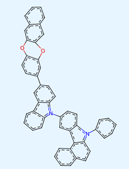 c1ccc(-n2c3ccc(-n4c5ccccc5c5cc(-c6ccc7c(c6)Oc6cc8ccccc8cc6O7)ccc54)cc3c3c4ccccc4ccc32)cc1